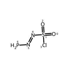 O=S(=O)(Cl)N=NP